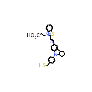 O=C(O)CC[n+]1c(/C=C/c2ccc3c(c2)C2CCCC2N3c2ccc(CS)cc2)sc2ccccc21